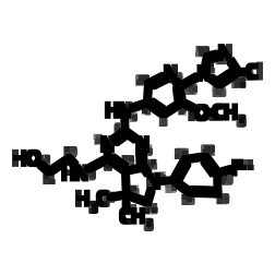 COc1cc(Nc2nc(NCCO)c3c(n2)N(c2ccc(F)cc2)CC3(C)C)cnc1-n1cnc(Cl)c1